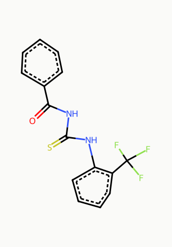 O=C(NC(=S)Nc1ccccc1C(F)(F)F)c1ccccc1